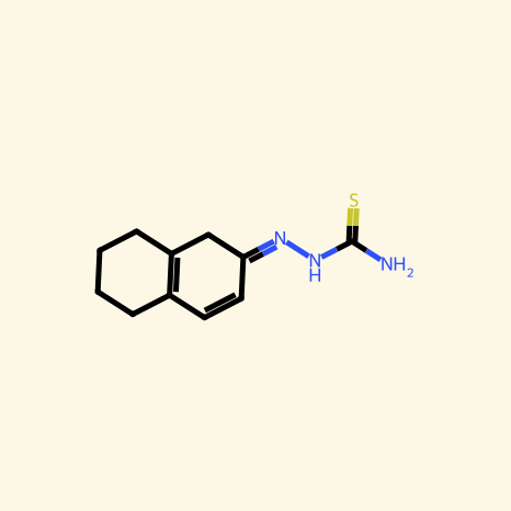 NC(=S)NN=C1C=CC2=C(CCCC2)C1